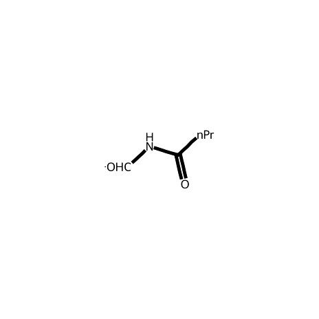 CCCC(=O)N[C]=O